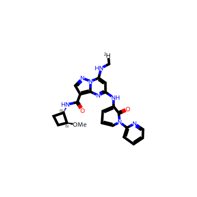 [2H]CNc1cc(Nc2cccn(-c3ccccn3)c2=O)nc2c(C(=O)N[C@H]3CC[C@@H]3OC)cnn12